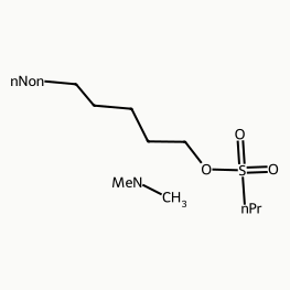 CCCCCCCCCCCCCCOS(=O)(=O)CCC.CNC